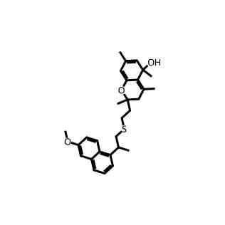 COc1ccc2c(C(C)CSCCC3(C)CC(C)=C4C(=CC(C)=CC4(C)O)O3)cccc2c1